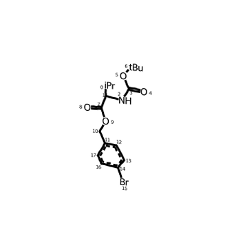 CC(C)C(NC(=O)OC(C)(C)C)C(=O)OCc1ccc(Br)cc1